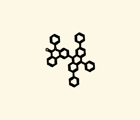 O=c1c2ccccc2c2cc(-c3c4ccc(-c5ccccc5)cc4c(-c4ccccc4)c4ccc(-c5ccccc5)cc34)ccc2n1-c1ccccc1